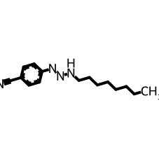 CCCCCCCCNN=Nc1ccc(C#N)cc1